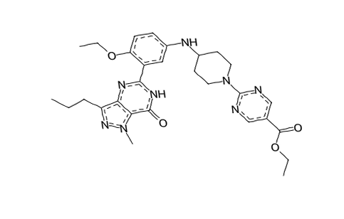 CCCc1nn(C)c2c(=O)[nH]c(-c3cc(NC4CCN(c5ncc(C(=O)OCC)cn5)CC4)ccc3OCC)nc12